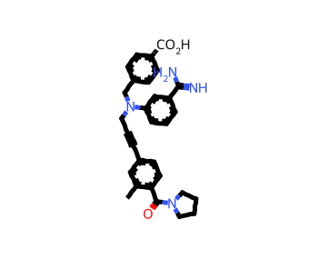 Cc1cc(C#CCN(Cc2ccc(C(=O)O)cc2)c2cccc(C(=N)N)c2)ccc1C(=O)N1CCCC1